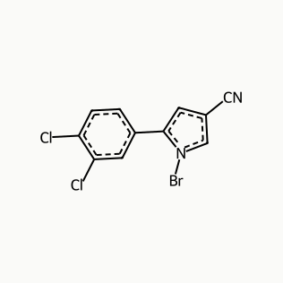 N#Cc1cc(-c2ccc(Cl)c(Cl)c2)n(Br)c1